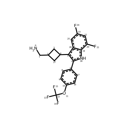 NCC1CC(c2c(-c3ccc(OC(F)(F)F)cc3)[nH]c3c(F)cc(F)cc23)C1